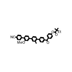 CCC(C)(C)C(=O)Oc1ccc(C(=O)c2ccc(-c3ccc(-c4ccc(-c5ccc(C#N)cc5)c(OC)c4)cc3C)cc2)cc1